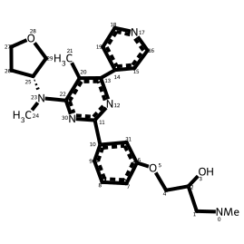 CNCC(O)COc1cccc(-c2nc(-c3ccncc3)c(C)c(N(C)[C@@H]3CCOC3)n2)c1